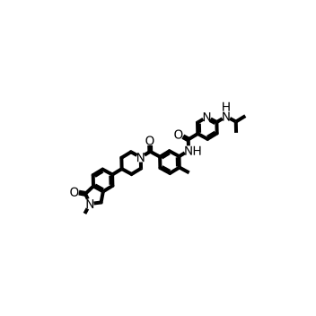 Cc1ccc(C(=O)N2CCC(c3ccc4c(c3)CN(C)C4=O)CC2)cc1NC(=O)c1ccc(NC(C)C)nc1